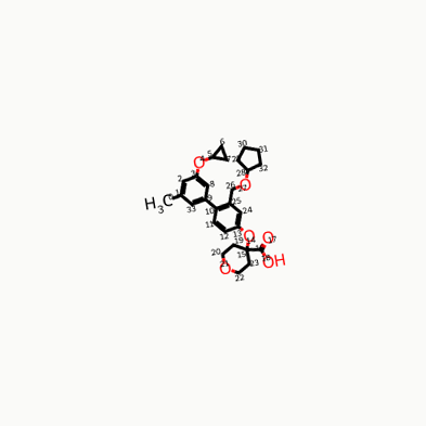 Cc1cc(OC2CC2)cc(-c2ccc(OC3(C(=O)O)CCOCC3)cc2COC2CCCC2)c1